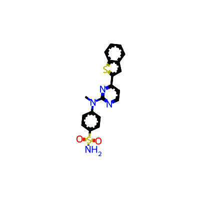 CN(c1ccc(S(N)(=O)=O)cc1)c1nccc(-c2cc3ccccc3s2)n1